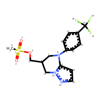 CS(=O)(=O)OCC1CN(c2ccc(C(F)(F)F)cc2)c2ccnn2C1